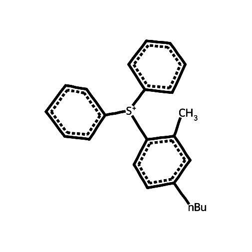 CCCCc1ccc([S+](c2ccccc2)c2ccccc2)c(C)c1